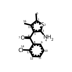 Cc1sc(N)c(C(=O)c2ccccc2Cl)c1C